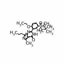 CCCc1nc(C)c2c(=O)[nH]c(-c3cc(S(=O)(=O)N(C)C(C)(C)C)ccc3OCC)nn12